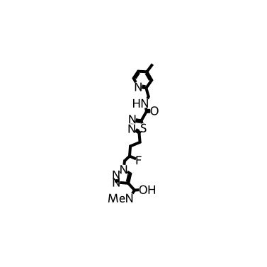 CNC(O)c1cn(CC(F)CCc2nnc(C(=O)NCc3cc(C)ccn3)s2)nn1